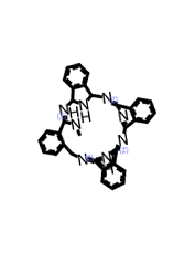 CN/C1=N\C2NC(/N=C3N=C(/N=c4\[nH]/c(c5ccccc45)=N\Cc4ccccc41)c1ccccc1\3)c1ccccc12